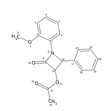 COc1ccccc1N1C(=O)C(OC(C)=O)C1c1ccccc1